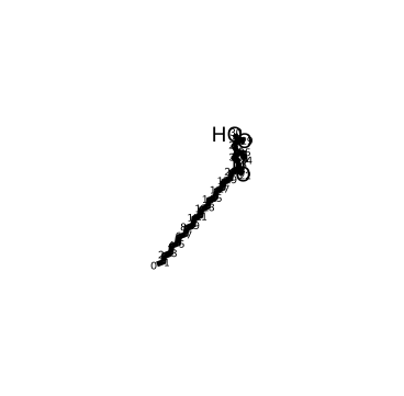 CCC=CCC=CCC=CCC=CCC=CCC=CCCC(=O)n1ccc(CC(=O)O)c1